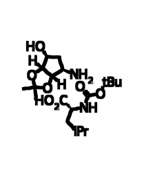 CC(C)C[C@@H](NC(=O)OC(C)(C)C)C(=O)O.CC1(C)O[C@@H]2[C@H](O1)[C@@H](O)C[C@H]2N